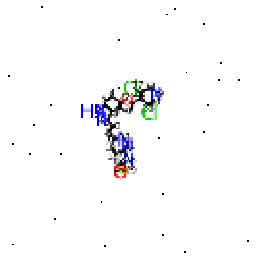 CC(Oc1ccc2[nH]nc(/C=C/c3ccc(N=S(C)(C)=O)nn3)c2c1)c1c(Cl)cncc1Cl